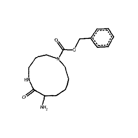 NC1CCCCN(C(=O)OCc2ccccc2)CCCNC1=O